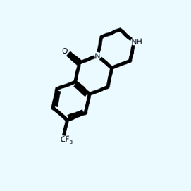 O=C1c2ccc(C(F)(F)F)cc2CC2CNCCN12